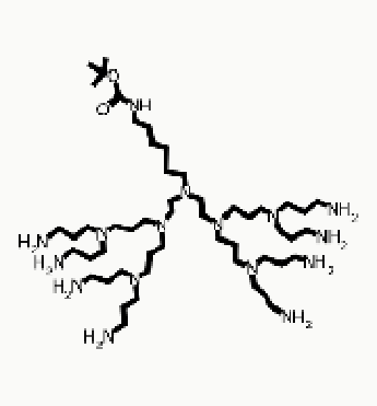 CC(C)(C)OC(=O)NCCCCCCN(CCN(CCCN(CCCN)CCCN)CCCN(CCCN)CCCN)CCN(CCCN(CCCN)CCCN)CCCN(CCCN)CCCN